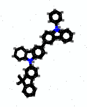 CC1(C)c2ccccc2-c2ccc(N3c4ccc(-c5ccc6c(c5)c5ccccc5n6-c5ccccc5)cc4C4CCCCC43)cc21